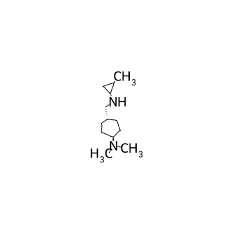 C[C@@H]1C[C@H]1NC[C@H]1CC[C@H](N(C)C)CC1